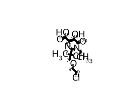 CCn1c(C(C)(C)COCCCl)nc(C(=O)O)c(O)c1=O